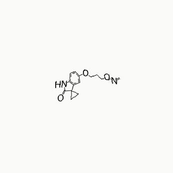 C=NOCCCOc1ccc2c(c1)C1(CC1)C(=O)N2